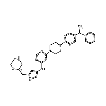 CC(c1ccccc1)c1cnc(N2CCN(c3ncnc(Nc4cnn(C[C@@H]5CNCCO5)c4)n3)CC2)nc1